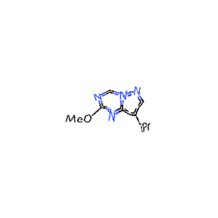 COc1ncn2ncc(C(C)C)c2n1